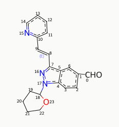 O=Cc1ccc2c(c1)c(/C=C/c1ccccn1)nn2C1CCCCO1